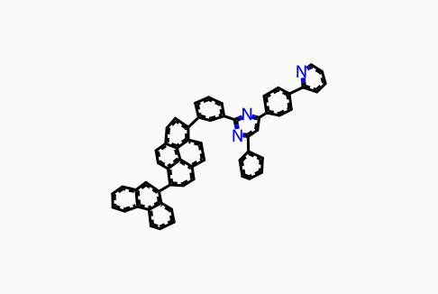 c1ccc(-c2cc(-c3ccc(-c4ccccn4)cc3)nc(-c3cccc(-c4ccc5ccc6c(-c7cc8ccccc8c8ccccc78)ccc7ccc4c5c76)c3)n2)cc1